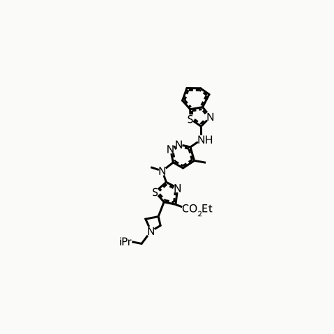 CCOC(=O)c1nc(N(C)c2cc(C)c(Nc3nc4ccccc4s3)nn2)sc1C1CN(CC(C)C)C1